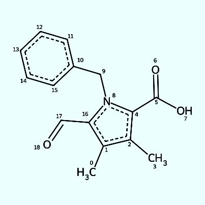 Cc1c(C)c(C(=O)O)n(Cc2ccccc2)c1C=O